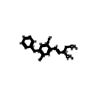 CCN(C)C=Nc1cc(F)c(Cc2ccccc2)cc1F